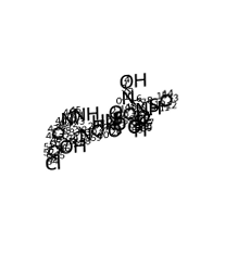 CN(CCO)CCC(CSc1ccccc1)Nc1ccc(S(=O)(=O)NC(=O)c2ccc(N3CCC(C(O)c4cc(CN5CCNCC5)ccc4-c4ccc(Cl)cc4)CC3)cc2)cc1S(=O)(=O)C(F)(F)F